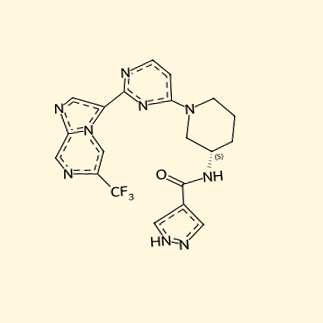 O=C(N[C@H]1CCCN(c2ccnc(-c3cnc4cnc(C(F)(F)F)cn34)n2)C1)c1cn[nH]c1